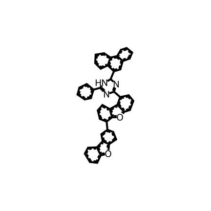 c1ccc(C2=NC(c3cccc4oc5c(-c6ccc7oc8ccccc8c7c6)cccc5c34)=NC(c3cc4ccccc4c4ccccc34)N2)cc1